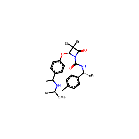 CCC[C@@H](NC(=O)N1C(=O)C(CC)(CC)[C@@H]1Oc1ccc(C(C)N[C@@H](OC)C(C)=O)cc1)c1ccc(C)cc1